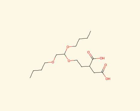 CCCCOCC(OCCCC)OCCC(CC(=O)O)C(=O)O